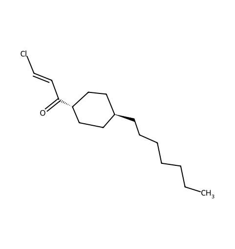 CCCCCCC[C@H]1CC[C@H](C(=O)/C=C/Cl)CC1